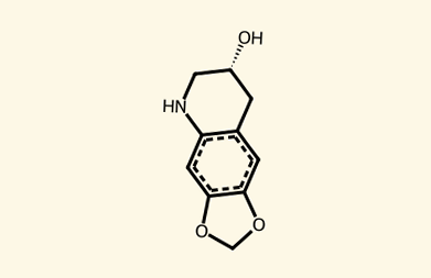 O[C@H]1CNc2cc3c(cc2C1)OCO3